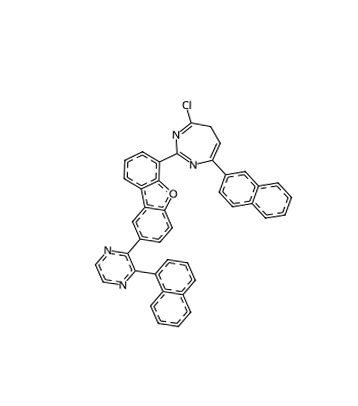 ClC1=NC(c2cccc3c2oc2ccc(-c4nccnc4-c4cccc5ccccc45)cc23)=NC(c2ccc3ccccc3c2)=CC1